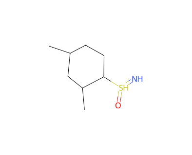 CC1CCC([SH](=N)=O)C(C)C1